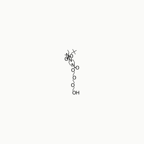 CCN(C)P(=O)(OCC(C)(C)C)N1CCN(C(=O)OCCOCCOCCO)CC1